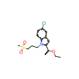 C=C(OCC)c1cc2cc(Cl)ccc2n1CCCS(C)(=O)=O